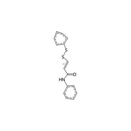 O=C(/C=C/SSc1ccccc1)Nc1ccccc1